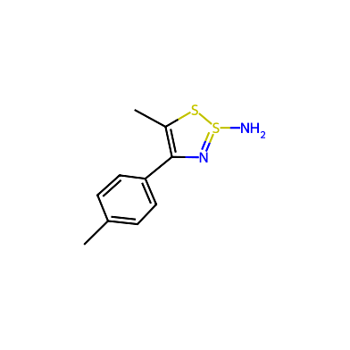 CC1=C(c2ccc(C)cc2)N=S(N)S1